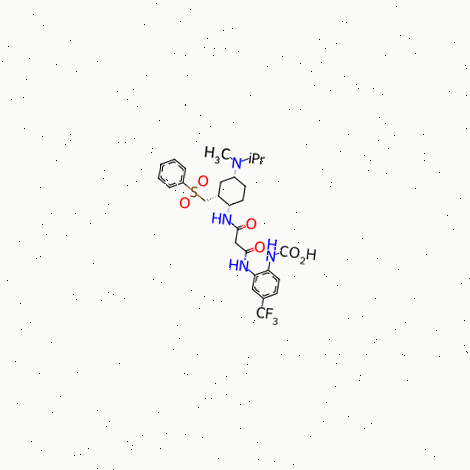 CC(C)N(C)[C@@H]1CC[C@H](NC(=O)CC(=O)Nc2cc(C(F)(F)F)ccc2NC(=O)O)[C@H](CS(=O)(=O)c2ccccc2)C1